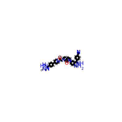 CN/C=N\C(=N)c1ccc(C2=CCN(C(=O)CN3CC[C@]4(CCN(c5ccc(N)c(C(=N)c6ccc(C#N)cc6)c5)C4=O)C3)CC2)cc1